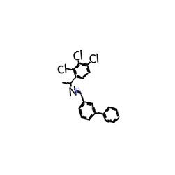 CC(/N=C/c1cccc(-c2ccccc2)c1)c1ccc(Cl)c(Cl)c1Cl